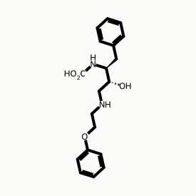 O=C(O)N[C@@H](Cc1ccccc1)[C@H](O)CNCCOc1ccccc1